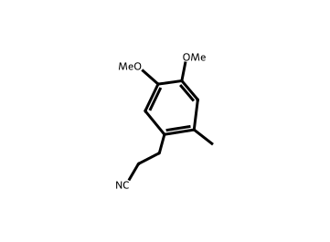 COc1cc(C)c(CCC#N)cc1OC